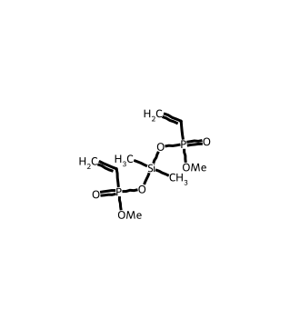 C=CP(=O)(OC)O[Si](C)(C)OP(=O)(C=C)OC